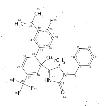 COC1(C2CN(Cc3ccccc3)C(=O)N2)C=C(C(F)(F)F)C=CC1c1ccc(F)c(C(C)C)c1